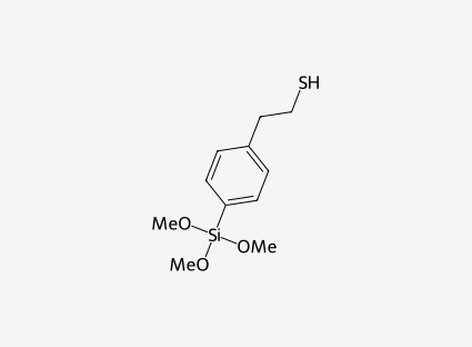 CO[Si](OC)(OC)c1ccc(CCS)cc1